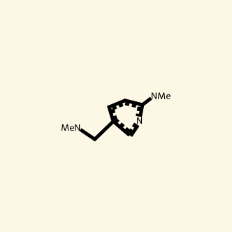 CNCc1ccc(NC)nc1